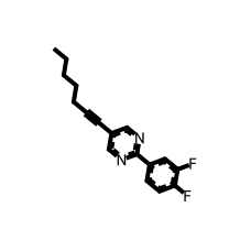 CCCCCC#Cc1cnc(-c2ccc(F)c(F)c2)nc1